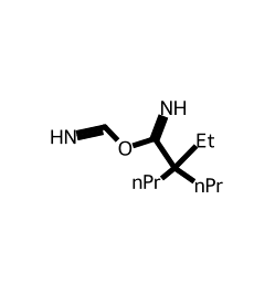 CCCC(CC)(CCC)C(=N)OC=N